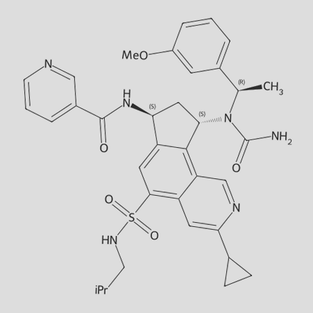 COc1cccc([C@@H](C)N(C(N)=O)[C@H]2C[C@H](NC(=O)c3cccnc3)c3cc(S(=O)(=O)NCC(C)C)c4cc(C5CC5)ncc4c32)c1